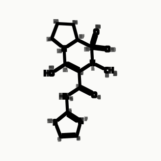 CN1C(C(=O)Nc2nccs2)=C(O)N2CCCC2S1(=O)=O